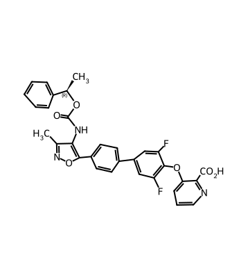 Cc1noc(-c2ccc(-c3cc(F)c(Oc4cccnc4C(=O)O)c(F)c3)cc2)c1NC(=O)O[C@H](C)c1ccccc1